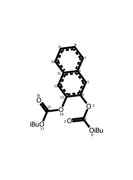 CC(C)COC(=O)Oc1cc2ccccc2cc1OC(=O)OCC(C)C